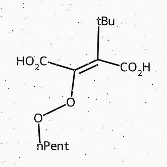 CCCCCOO/C(C(=O)O)=C(\C(=O)O)C(C)(C)C